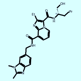 CCc1nc2c(C(=O)NCc3ccc4nc(C)n(C)c4c3)cccn2c1C(=O)N[C@H](CO)CC(C)C